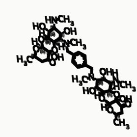 CN[C@H]1[C@H](O)[C@H]2O[C@@H]3O[C@H](C)CC(=O)[C@]3(O)O[C@@H]2[C@@H](N(C)Cc2ccc(CN(C)[C@@H]3[C@H](O)[C@H](NC)[C@H]4O[C@@]5(O)C(=O)C[C@@H](C)O[C@H]5O[C@@H]4[C@H]3O)cc2)[C@H]1O